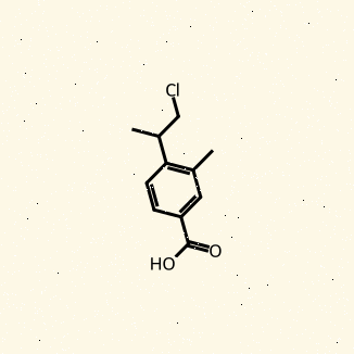 Cc1cc(C(=O)O)ccc1C(C)CCl